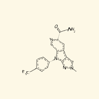 Cn1cc2c3cc(C(N)=O)ncc3n(-c3ccc(C(F)(F)F)cc3)c2n1